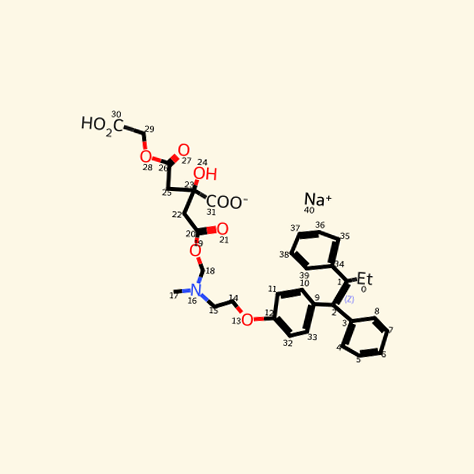 CC/C(=C(\c1ccccc1)c1ccc(OCCN(C)COC(=O)CC(O)(CC(=O)OCC(=O)O)C(=O)[O-])cc1)c1ccccc1.[Na+]